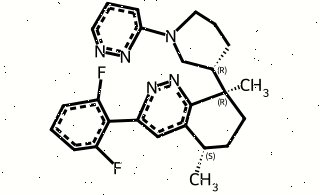 C[C@H]1CC[C@](C)([C@H]2CCCN(c3cccnn3)C2)c2nnc(-c3c(F)cccc3F)cc21